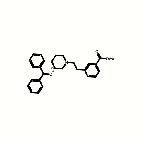 COC(=O)c1cccc(CCN2CCC[C@@H](OC(c3ccccc3)c3ccccc3)C2)c1